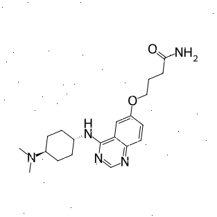 CN(C)[C@H]1CC[C@H](Nc2ncnc3ccc(OCCCC(N)=O)cc23)CC1